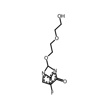 O=c1c(F)cn2c(=O)n1C2OCCOCCO